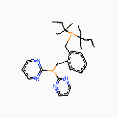 CCC(C)(C)P(Cc1ccccc1CP(c1ncccn1)c1ncccn1)C(C)(C)CC